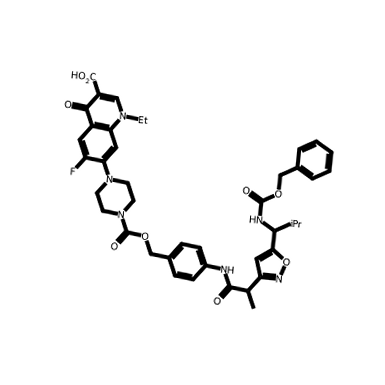 CCn1cc(C(=O)O)c(=O)c2cc(F)c(N3CCN(C(=O)OCc4ccc(NC(=O)C(C)c5cc(C(NC(=O)OCc6ccccc6)C(C)C)on5)cc4)CC3)cc21